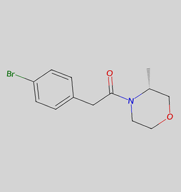 C[C@@H]1COCCN1C(=O)Cc1ccc(Br)cc1